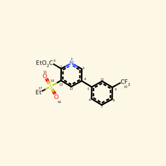 CCOC(=O)c1ncc(-c2cccc(C(F)(F)F)c2)cc1S(=O)(=O)CC